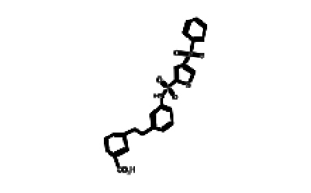 O=C(O)c1cccc(CCc2cccc(NS(=O)(=O)c3cc(S(=O)(=O)c4ccccc4)cs3)c2)c1